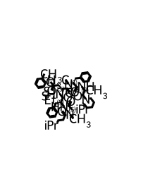 CCSSc1cccc(C)c1OC(=O)C[C@H](NC(=O)[C@H](Cc1ccccc1)NC(=O)[C@H](C(C)C)N(C)C(=O)CCC(C)C)C(=O)N(C)[C@@H](Cc1ccccc1)C(=O)N[C@@H](C)C(=O)N1CCCCC1